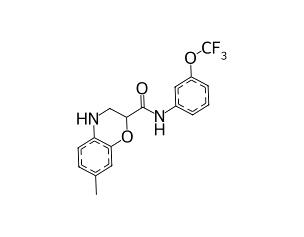 Cc1ccc2c(c1)OC(C(=O)Nc1cccc(OC(F)(F)F)c1)CN2